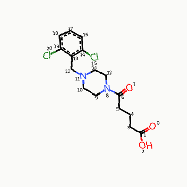 O=C(O)CCCC(=O)N1CCN(Cc2c(Cl)cccc2Cl)CC1